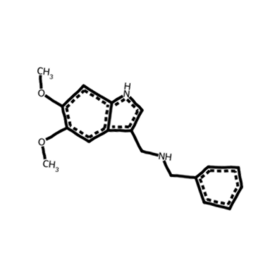 COc1cc2[nH]cc(CNCc3ccccc3)c2cc1OC